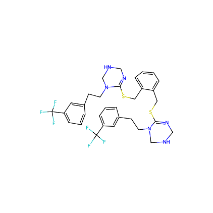 FC(F)(F)c1cccc(CCN2CNCN=C2SCc2ccccc2CSC2=NCNCN2CCc2cccc(C(F)(F)F)c2)c1